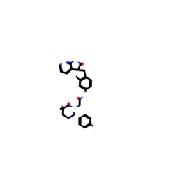 CSc1ccc([C@@H]2CCC(C)(C)C(=O)N2CC(=O)Nc2ccc3c(c2)C[C@@]2(C3)C(=O)Nc3ncccc32)cc1